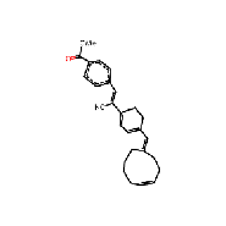 COC(=O)c1ccc(/C=C(\C#N)C2=CC=C(/C=C3/CC/C=C\CCCC3)CC2)cc1